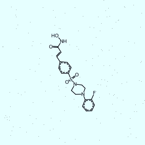 O=C(C=Cc1ccc(S(=O)(=O)N2CCN(c3ccccc3F)CC2)cc1)NO